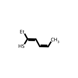 C/C=C\C=C(/S)CC